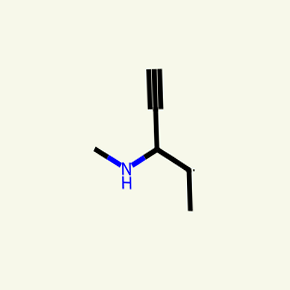 C#CC([CH]C)NC